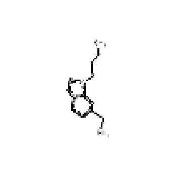 CCCCn1ccc2ccc(CN)cc21